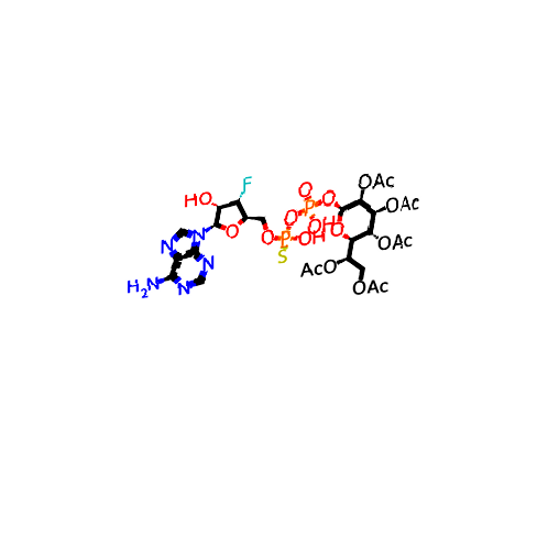 CC(=O)OC[C@@H](OC(C)=O)[C@H]1O[C@@H](OP(=O)(O)OP(O)(=S)OC[C@H]2O[C@@H](n3cnc4c(N)ncnc43)[C@H](O)[C@@H]2F)[C@@H](OC(C)=O)[C@@H](OC(C)=O)[C@@H]1OC(C)=O